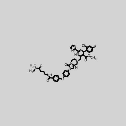 COC(=O)C1=C(CN2CCN3C(=O)N(c4ccc(Oc5ccc(C(=O)NCCCC(=O)N(C)C)cc5)cc4)C[C@@H]3C2)NC(c2nccs2)=NC1c1ccc(F)cc1Cl